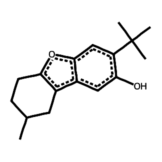 CC1CCc2oc3cc(C(C)(C)C)c(O)cc3c2C1